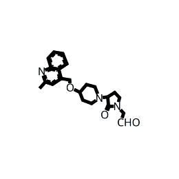 Cc1cc(COC2CCN(C3CCN(CC=O)C3=O)CC2)c2ccccc2n1